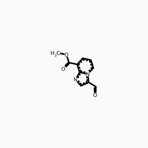 COC(=O)c1cccn2c(C=O)cnc12